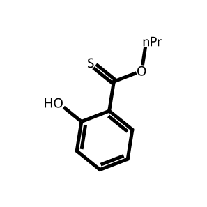 CCCOC(=S)c1ccccc1O